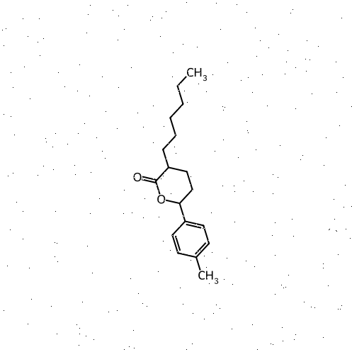 CCCCCCC1CCC(c2ccc(C)cc2)OC1=O